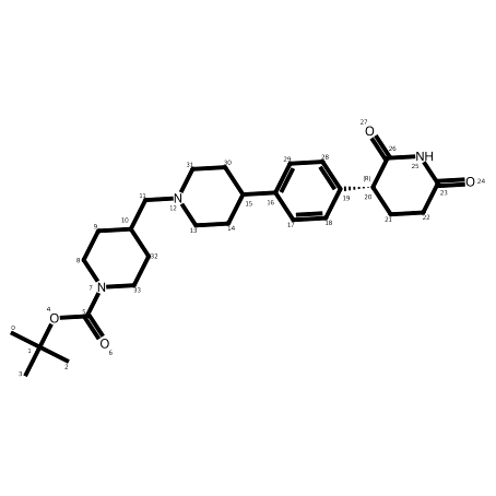 CC(C)(C)OC(=O)N1CCC(CN2CCC(c3ccc([C@H]4CCC(=O)NC4=O)cc3)CC2)CC1